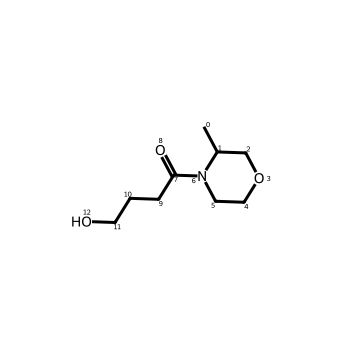 CC1COCCN1C(=O)CCCO